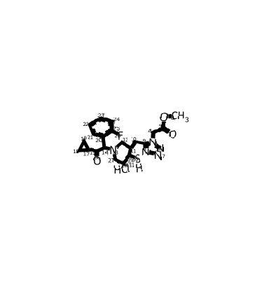 COC(=O)Cn1nnnc1C=C1CN(C(C(=O)C2CC2)c2ccccc2F)CCC1S.Cl